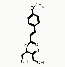 COc1ccc(C=CC(=O)OC(CO)C(=O)CO)cc1